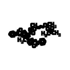 C=C(C)C(=O)OC(C)OCCCCOC(C)OC(=O)CCC(C)(c1ccc2c(c1)CN(c1ccccc1)CO2)c1ccc2c(c1)CN(c1ccccc1)CO2